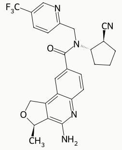 C[C@H]1OCc2c1c(N)nc1ccc(C(=O)N(Cc3ccc(C(F)(F)F)cn3)[C@H]3CCC[C@@H]3C#N)cc21